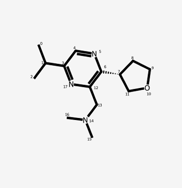 CC(C)c1cnc([C@@H]2CCOC2)c(CN(C)C)n1